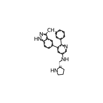 Cc1n[nH]c2ccc(-c3cc(NC[C@@H]4CCCN4)cnc3-c3ccccc3)cc12